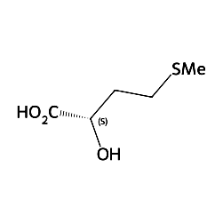 CSCC[C@H](O)C(=O)O